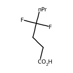 CCCC(F)(F)CCC(=O)O